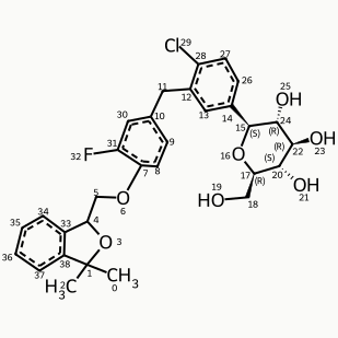 CC1(C)OC(COc2ccc(Cc3cc([C@@H]4O[C@H](CO)[C@@H](O)[C@H](O)[C@H]4O)ccc3Cl)cc2F)c2ccccc21